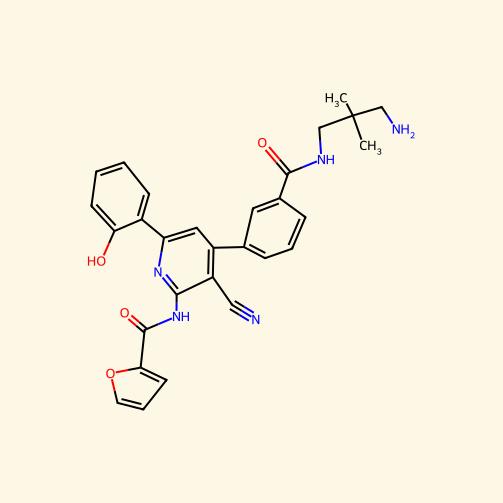 CC(C)(CN)CNC(=O)c1cccc(-c2cc(-c3ccccc3O)nc(NC(=O)c3ccco3)c2C#N)c1